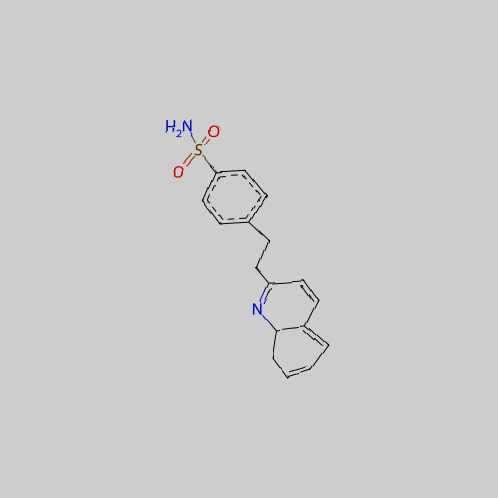 NS(=O)(=O)c1ccc(CCC2=NC3CC=CC=C3C=C2)cc1